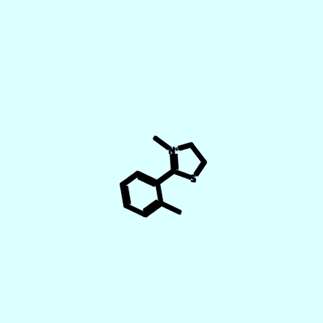 Cc1ccccc1C1=[N+](C)CCS1